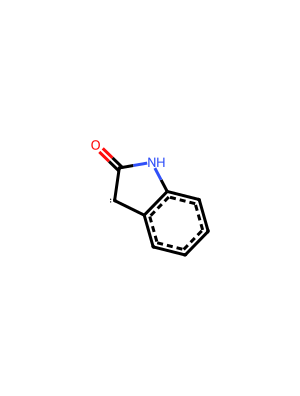 O=C1[C]c2ccccc2N1